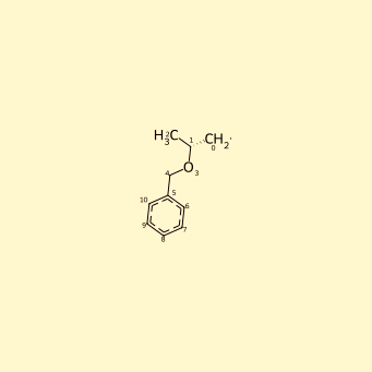 [CH2][C@@H](C)OCc1ccccc1